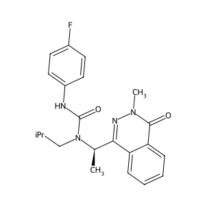 CC(C)CN(C(=O)Nc1ccc(F)cc1)[C@H](C)c1nn(C)c(=O)c2ccccc12